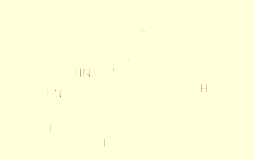 CCCc1ccc(-c2cc[c]cc2C(=O)NC[C@@H](N)[C@@H](C)CC)cc1